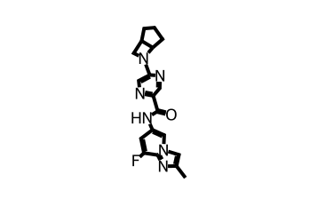 Cc1cn2cc(NC(=O)c3cnc(N4CC5CCCC54)cn3)cc(F)c2n1